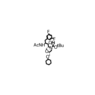 CC(=O)N[C@@H](Cc1cc(F)cc(F)c1)[C@H](O)[C@H]1CO[C@@H](COC2CCCCC2)CN1C(=O)OC(C)(C)C